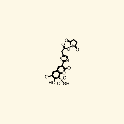 O=C(Cc1cnc(-c2cc3cc(Cl)c(O)c(S(=O)(=O)O)c3oc2=O)s1)ON1C(=O)CCC1=O